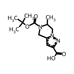 CC1Cn2nc(C(=O)O)cc2CN1C(=O)OC(C)(C)C